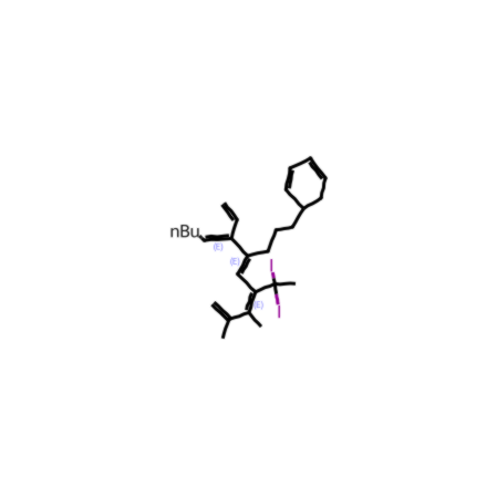 C=CC(=C\CCCC)/C(=C/C(=C(/C)C(=C)C)C(C)(I)I)CCCC1C=CC=CC1